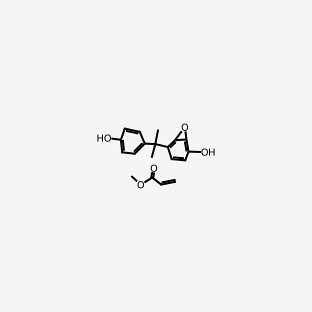 C=CC(=O)OC.CC(C)(c1ccc(O)cc1)c1ccc(O)c2c1O2